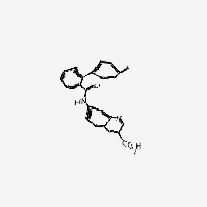 Cc1ccc(-c2ccccc2C(=O)Nc2ccc3cc(C(=O)O)cnc3c2)cc1